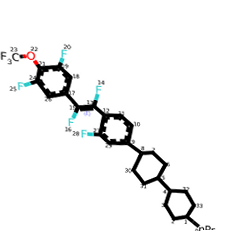 CCCC1CCC(C2CCC(c3ccc(/C(F)=C(\F)c4cc(F)c(OC(F)(F)F)c(F)c4)c(F)c3)CC2)CC1